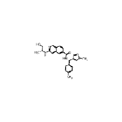 Cc1ccc([C@H](NC(=O)c2ccc3cnc(N[C@@H](C)CO)cc3c2)c2cnn(C)c2)cc1